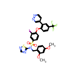 COc1ccc(CN(c2ncns2)S(=O)(=O)c2ccc(Oc3ccc(C(F)(F)F)cc3-c3ccnnc3)c(I)c2)c(OC)c1